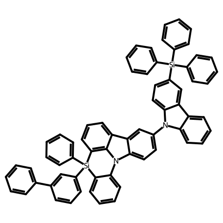 c1ccc(-c2cccc([Si]3(c4ccccc4)c4ccccc4-n4c5ccc(-n6c7ccccc7c7cc([Si](c8ccccc8)(c8ccccc8)c8ccccc8)ccc76)cc5c5cccc3c54)c2)cc1